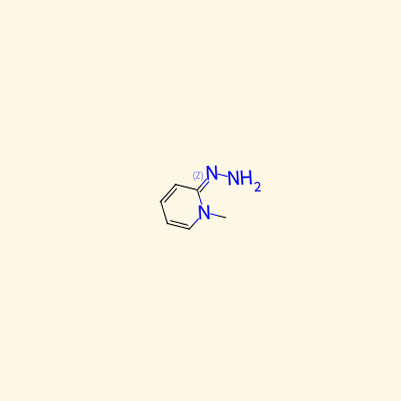 Cn1cccc/c1=N/N